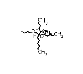 C=CCCCCC(OC(=C)CCCC)(C(=C)CCCC)C(F)(F)OCCCF